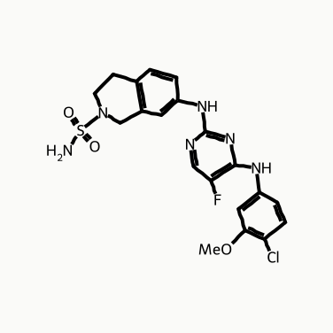 COc1cc(Nc2nc(Nc3ccc4c(c3)CN(S(N)(=O)=O)CC4)ncc2F)ccc1Cl